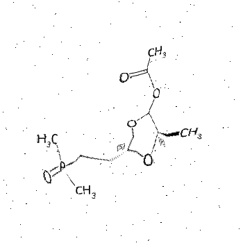 CC(=O)OC1O[C@@H](CCP(C)(C)=O)O[C@@H]1C